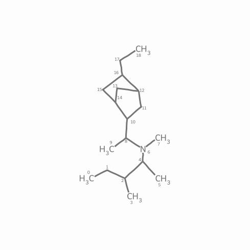 CCC(C)C(C)N(C)C(C)C1CC2CC1CC2CC